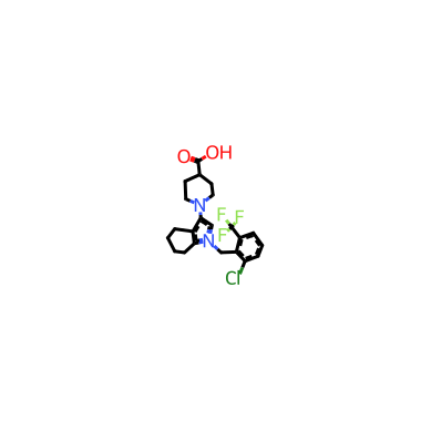 O=C(O)C1CCN(c2cn(Cc3c(Cl)cccc3C(F)(F)F)c3c2CCCC3)CC1